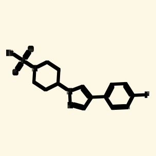 CCS(=O)(=O)N1CCC(n2cc(-c3c[c]c(F)cc3)cn2)CC1